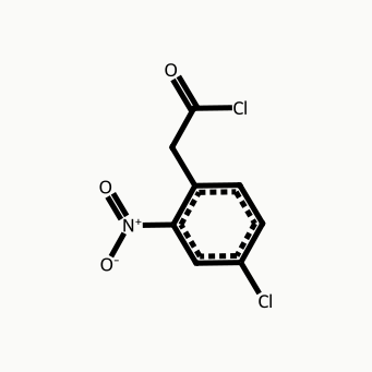 O=C(Cl)Cc1ccc(Cl)cc1[N+](=O)[O-]